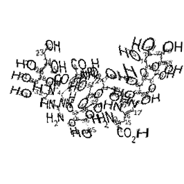 N=C(N)NCCCC(N)C(=O)O.NCC(=O)O.N[C@@H](Cc1cnc[nH]1)C(=O)O.OC[C@@H](O)[C@@H](O)[C@H](O)[C@H](O)CO.OC[C@H]1O[C@@](CO)(O[C@H]2O[C@H](CO)[C@@H](O)[C@H](O)[C@H]2O)[C@@H](O)[C@@H]1O.OC[C@H]1O[C@H](O[C@H]2[C@H](O)[C@@H](O)[C@H](O)O[C@@H]2CO)[C@H](O)[C@@H](O)[C@@H]1O